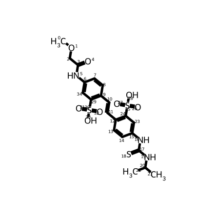 COCC(=O)Nc1ccc(C=Cc2ccc(NC(=S)NC(C)C)cc2S(=O)(=O)O)c(S(=O)(=O)O)c1